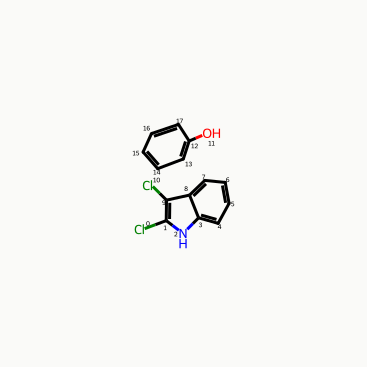 Clc1[nH]c2ccccc2c1Cl.Oc1ccccc1